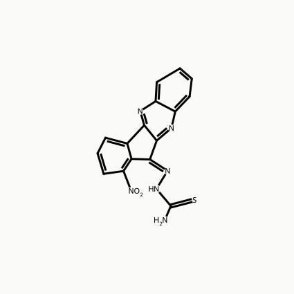 NC(=S)NN=C1c2nc3ccccc3nc2-c2cccc([N+](=O)[O-])c21